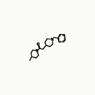 CC1CCN(C(=O)CC2CCN(Cc3ccccc3)CC2)CC1